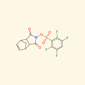 O=C1C2C3C=CC(C3)C2C(=O)N1OS(=O)(=O)c1c(F)c(F)cc(F)c1F